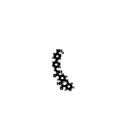 Nc1ncc(-c2ccc(CNC(=O)c3ccc4c(c3)NC(=O)c3ccccc3S4)cn2)cn1